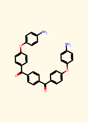 Nc1ccc(Oc2ccc(C(=O)c3ccc(C(=O)c4ccc(Oc5ccc(N)cc5)cc4)cc3)cc2)cc1